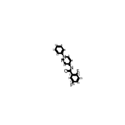 O=C(N=c1ccn(-c2ccccc2)nc1)c1cc(F)ccc1F